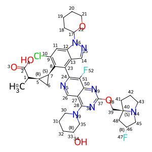 CC(C(=O)O)[C@@H]1C[C@@H]1c1c(Cl)cc2c(cnn2C2CCCCO2)c1-c1ncc2c(N3CCC[C@@H](O)C3)nc(OC[C@@]34CCCN3C[C@H](F)C4)nc2c1F